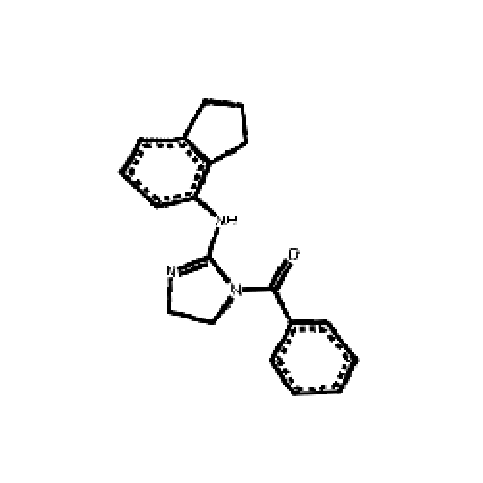 O=C(c1ccccc1)N1CCN=C1Nc1cccc2c1CCC2